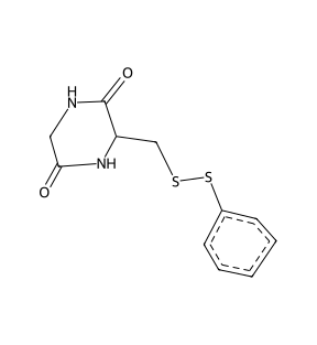 O=C1CNC(=O)C(CSSc2ccccc2)N1